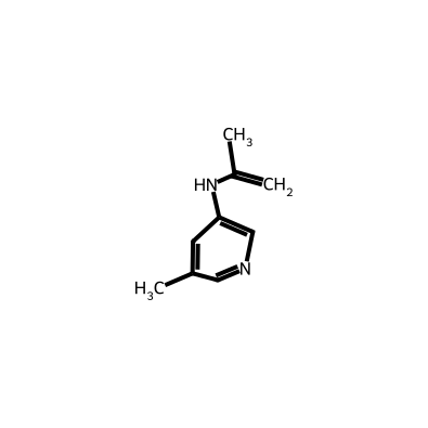 C=C(C)Nc1cncc(C)c1